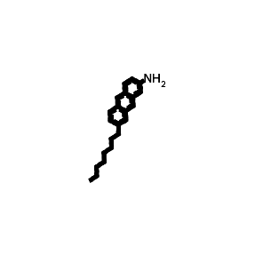 CCCCCCCCc1ccc2cc3ccc(N)cc3cc2c1